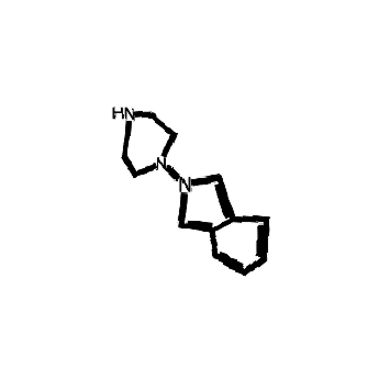 c1ccc2cn(N3CCNCC3)cc2c1